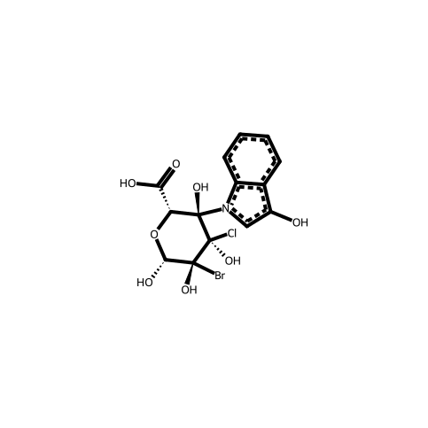 O=C(O)[C@H]1O[C@@H](O)[C@@](O)(Br)[C@](O)(Cl)[C@@]1(O)n1cc(O)c2ccccc21